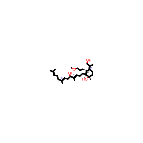 COCCC[C@@H]1/C(=C(/C)CO)CC[C@](C)(O)[C@@]1(C)CC/C=C(\C)C(O)C/C=C(\C)CCC=C(C)C